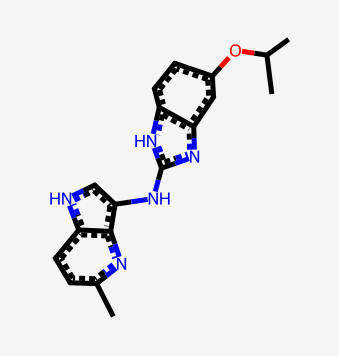 Cc1ccc2[nH]cc(Nc3nc4cc(OC(C)C)ccc4[nH]3)c2n1